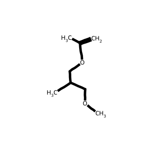 C=C(C)OCC(C)COC